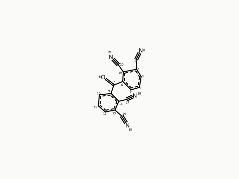 N#Cc1cccc(C(=O)c2cccc(C#N)c2C#N)c1C#N